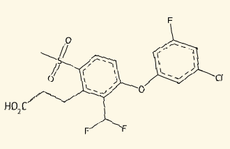 CS(=O)(=O)c1ccc(Oc2cc(F)cc(Cl)c2)c(C(F)F)c1CCC(=O)O